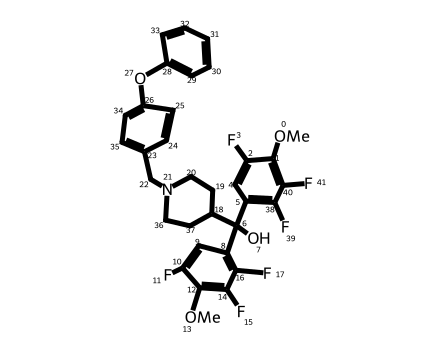 COc1c(F)cc(C(O)(c2cc(F)c(OC)c(F)c2F)C2CCN(Cc3ccc(Oc4ccccc4)cc3)CC2)c(F)c1F